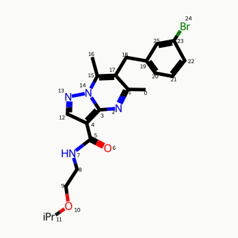 Cc1nc2c(C(=O)NCCOC(C)C)cnn2c(C)c1Cc1cccc(Br)c1